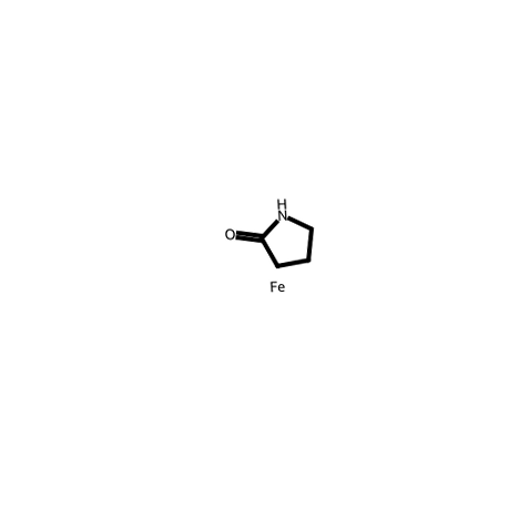 O=C1CCCN1.[Fe]